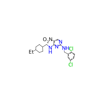 CCC1CCC(CNc2nc(NCc3cc(Cl)ccc3Cl)ncc2[N+](=O)[O-])CC1